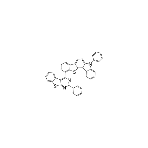 c1ccc(-c2nc(-c3cccc4c3sc3c4ccc4c3c3ccccc3n4-c3ccccc3)c3c(n2)sc2ccccc23)cc1